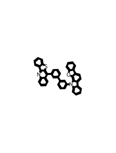 c1cc(-c2cccc(-n3c4ccccc4c4ccc5c6ccccc6oc5c43)c2)cc(-c2c3ccccc3nc3c2sc2ccccc23)c1